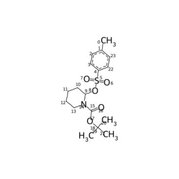 Cc1ccc(S(=O)(=O)OC2CCCCN2C(=O)OC(C)(C)C)cc1